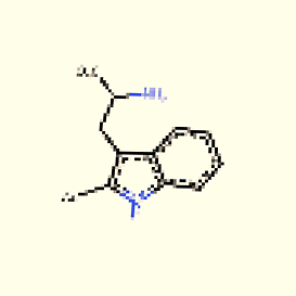 CC(=O)c1[nH]c2ccccc2c1C[C@H](N)C(=O)O